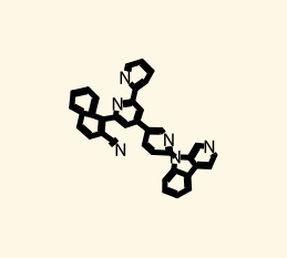 N#Cc1ccc2ccccc2c1-c1cc(-c2ccc(-n3c4ccccc4c4ccncc43)nc2)cc(-c2ccccn2)n1